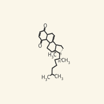 CC(C)CCC[C@@H](C)[C@H]1CCC2C3=CCC4C(=O)C=CC(=O)C4C3CC[C@@]21C